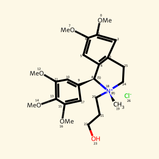 COc1cc2c(cc1OC)[C@H](c1cc(OC)c(OC)c(OC)c1)[N@@+](C)(CCCO)CC2.[Cl-]